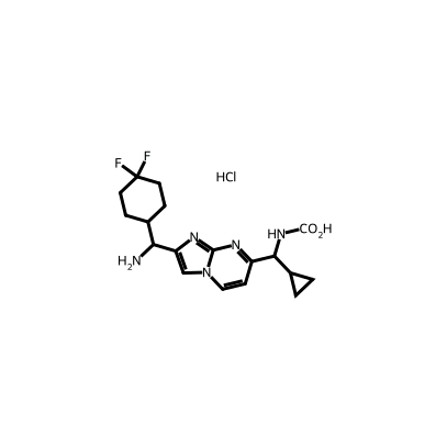 Cl.NC(c1cn2ccc(C(NC(=O)O)C3CC3)nc2n1)C1CCC(F)(F)CC1